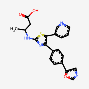 CC(CC(=O)O)Nc1nc(-c2ccc(-c3cnco3)cc2)c(-c2cccnc2)s1